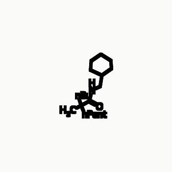 CCCCCC(C)(CCCC)C(=O)NCC1CCCCC1